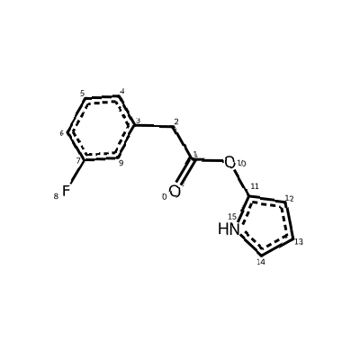 O=C(Cc1cccc(F)c1)Oc1ccc[nH]1